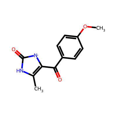 COc1ccc(C(=O)C2=C(C)NC(=O)[N]2)cc1